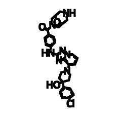 O=C(c1ccc(Nc2nc3c(N4CCC(O)(c5ccc(Cl)cc5)CC4)cccn3n2)cc1)N1CC2CNCC(C1)O2